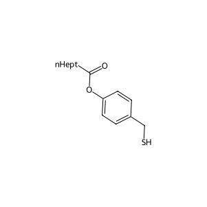 CCCCCCCC(=O)Oc1ccc(CS)cc1